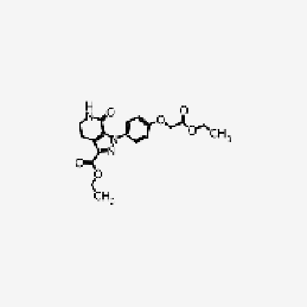 CCOC(=O)COc1ccc(-n2nc(C(=O)OCC)c3c2C(=O)NCC3)cc1